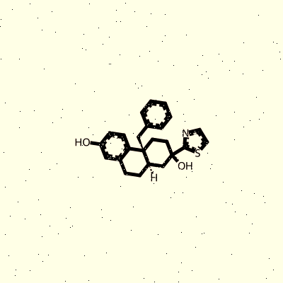 Oc1ccc2c(c1)CC[C@@H]1CC(O)(c3nccs3)CC[C@@]21Cc1ccccc1